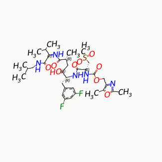 Cc1nc(COC(=O)N[C@@H](CS(C)(=O)=O)C(=O)N[C@H](Cc2cc(F)cc(F)c2)[C@@H](O)C[C@@H](C)C(=O)N[C@@H](C(=O)NCC(C)C)C(C)C)c(C)o1